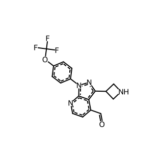 O=Cc1ccnc2c1c(C1CNC1)nn2-c1ccc(OC(F)(F)F)cc1